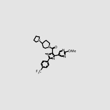 COc1ncc(-c2nc(-c3ccc(C(F)(F)F)cc3)n(C)c2C(=O)N2CCC(N3CCCC3)CC2)cn1